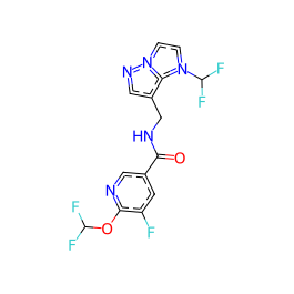 O=C(NCc1cnn2ccn(C(F)F)c12)c1cnc(OC(F)F)c(F)c1